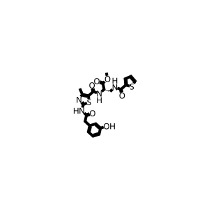 COC(=O)[C@H](CNC(=O)c1cccs1)NC(=O)c1sc(NC(=O)Cc2cccc(O)c2)nc1C